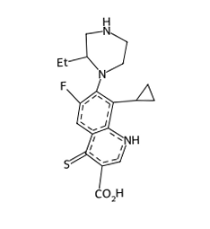 CCC1CNCCN1c1c(F)cc2c(=S)c(C(=O)O)c[nH]c2c1C1CC1